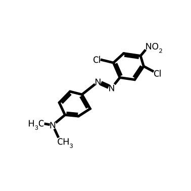 CN(C)c1ccc(/N=N/c2cc(Cl)c([N+](=O)[O-])cc2Cl)cc1